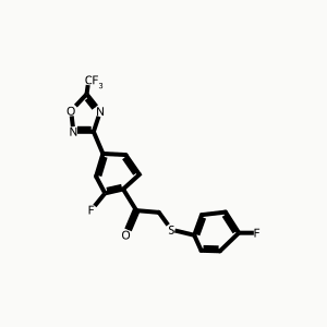 O=C(CSc1ccc(F)cc1)c1ccc(-c2noc(C(F)(F)F)n2)cc1F